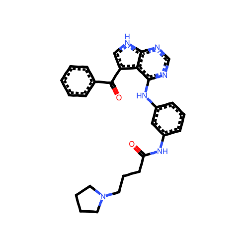 O=C(CCCN1CCCC1)Nc1cccc(Nc2ncnc3[nH]cc(C(=O)c4ccccc4)c23)c1